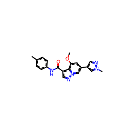 COc1cc(-c2cnn(C)c2)cn2ncc(C(=O)Nc3ccc(C)cc3)c12